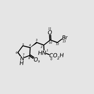 O=C(O)NC(C[C@@H]1CCNC1=O)C(=O)CBr